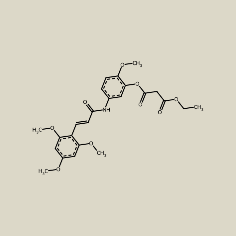 CCOC(=O)CC(=O)Oc1cc(NC(=O)C=Cc2c(OC)cc(OC)cc2OC)ccc1OC